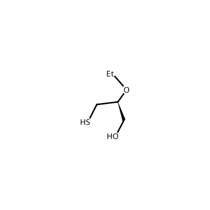 CCO[C@@H](CO)CS